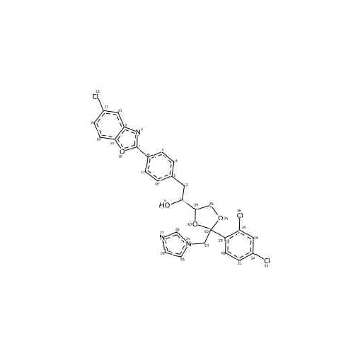 OC(Cc1ccc(-c2nc3cc(Cl)ccc3o2)cc1)C1COC(Cn2ccnc2)(c2ccc(Cl)cc2Cl)O1